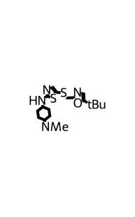 CNC1CCC(Nc2ncc(SCc3ncc(C(C)(C)C)o3)s2)CC1